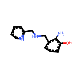 Nc1c(O)cccc1CNCc1ccccn1